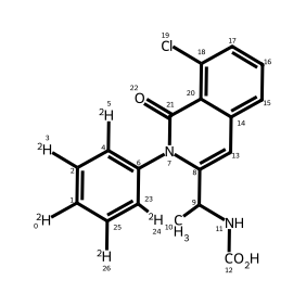 [2H]c1c([2H])c([2H])c(-n2c(C(C)NC(=O)O)cc3cccc(Cl)c3c2=O)c([2H])c1[2H]